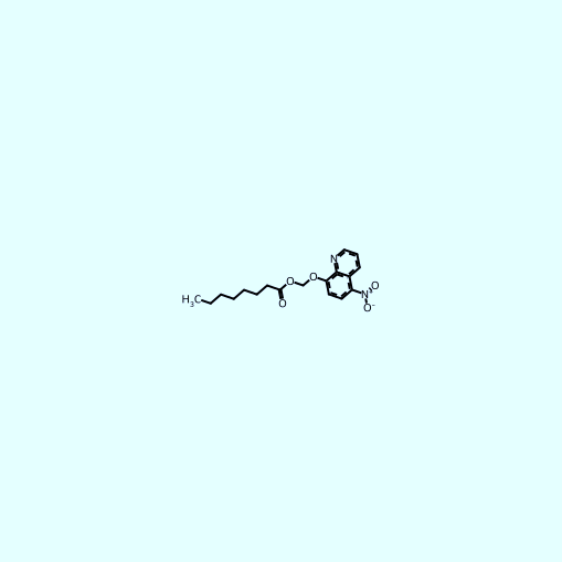 CCCCCCCC(=O)OCOc1ccc([N+](=O)[O-])c2cccnc12